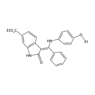 CCOC(=O)c1ccc2c(c1)NC(=O)C2=C(Nc1ccc(OCC)cc1)c1ccccc1